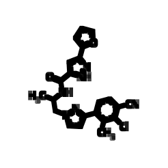 Cc1c(-c2ccn(CC(C)NC(=O)c3cc(-c4ccco4)n[nH]3)n2)ccc(C#N)c1Cl